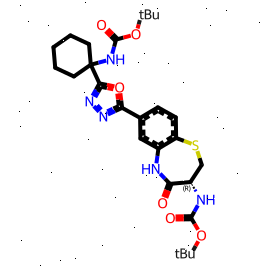 CC(C)(C)OC(=O)N[C@H]1CSc2ccc(-c3nnc(C4(NC(=O)OC(C)(C)C)CCCCC4)o3)cc2NC1=O